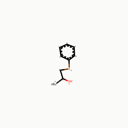 CCCCC(O)CSc1ccccc1